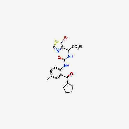 CCOC(=O)C(NC(=O)Nc1ccc(C)cc1C(=O)C1CCCC1)c1ncsc1Br